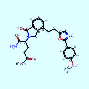 COC(=O)CCC(C(N)=O)N1Cc2c(CCc3cnc(-c4ccc(OC(F)(F)F)cc4)o3)cccc2C1=O